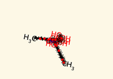 CCCC/C=C/CCCCC(O)CC(O)C(O)C(COC1OC(CO)C(O)C(O)C1O)NC(=O)C(O)CCCCCCCCCCCCCCC